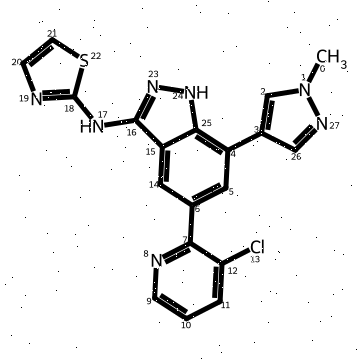 Cn1cc(-c2cc(-c3ncccc3Cl)cc3c(Nc4nccs4)n[nH]c23)cn1